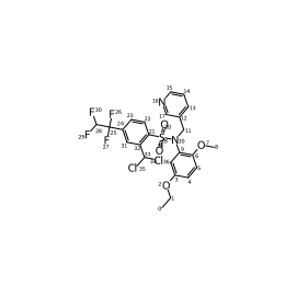 CCOc1ccc(OC)c(N(Cc2cccnc2)S(=O)(=O)c2ccc(C(F)(F)C(F)F)cc2C(Cl)Cl)c1